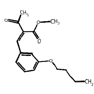 CCCCOc1cccc(C=C(C(C)=O)C(=O)OC)c1